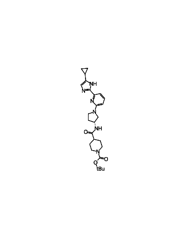 CC(C)(C)OC(=O)N1CCC(C(=O)N[C@@H]2CCN(c3cccc(-c4ncc(C5CC5)[nH]4)n3)C2)CC1